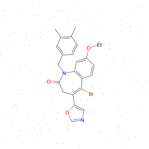 CCOc1ccc2c(c1)N(Cc1ccc(C)c(C)c1)C(=O)CC(c1cnco1)=C2Br